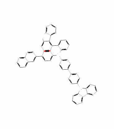 c1ccc(N(c2ccc(-c3ccc(-n4c5ccccc5c5ccccc54)cc3)cc2)c2ccc(-c3ccc4ccccc4c3)cc2)c(-c2cccc3oc4ccccc4c23)c1